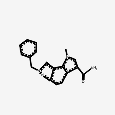 Cn1cc(C(N)=O)c2ccc3nn(Cc4ccccc4)cc3c21